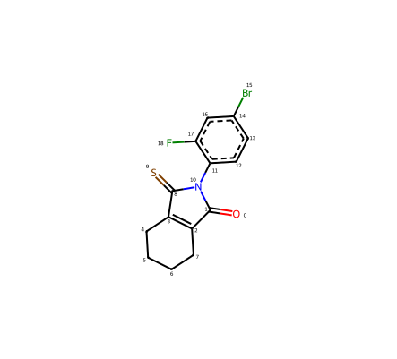 O=C1C2=C(CCCC2)C(=S)N1c1ccc(Br)cc1F